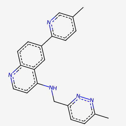 Cc1ccc(-c2ccc3nccc(NCc4ccc(C)nn4)c3c2)nc1